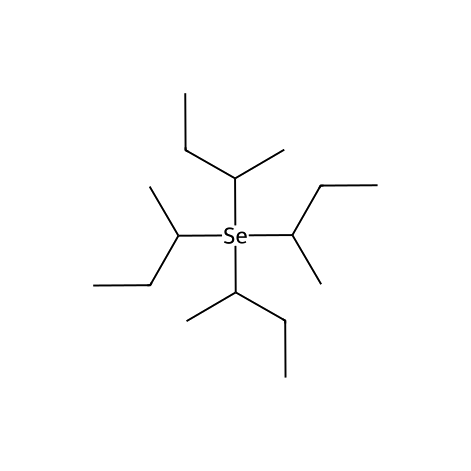 CCC(C)[Se](C(C)CC)(C(C)CC)C(C)CC